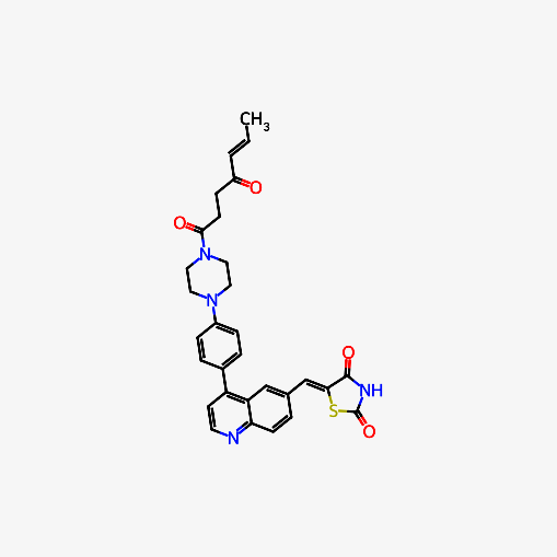 C/C=C/C(=O)CCC(=O)N1CCN(c2ccc(-c3ccnc4ccc(/C=C5\SC(=O)NC5=O)cc34)cc2)CC1